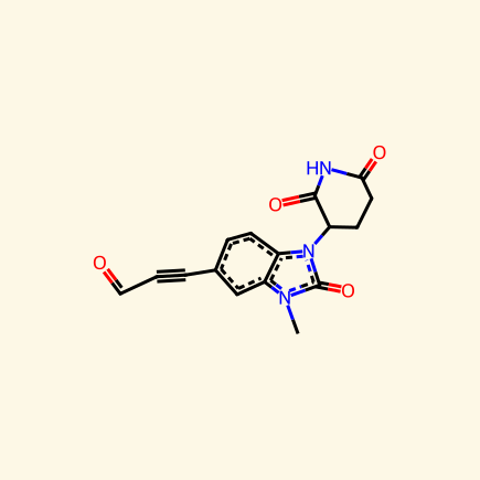 Cn1c(=O)n(C2CCC(=O)NC2=O)c2ccc(C#CC=O)cc21